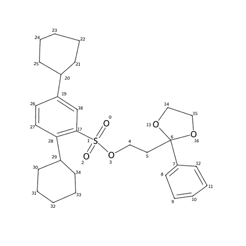 O=S(=O)(OCCC1(c2ccccc2)OCCO1)c1cc(C2CCCCC2)ccc1C1CCCCC1